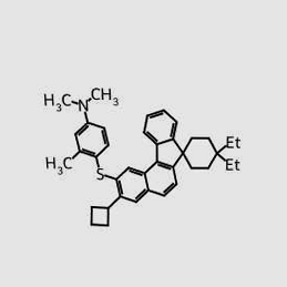 CCC1(CC)CCC2(CC1)c1ccccc1-c1c2ccc2cc(C3CCC3)c(Sc3ccc(N(C)C)cc3C)cc12